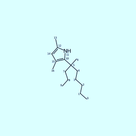 CCCCCC(C)(CCC)c1[nH]c(C)cc1C